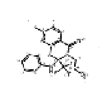 Cc1ccc2c(c1)CC(Nc1ccccc1)(C(F)(F)F)N(CCO)C2=O